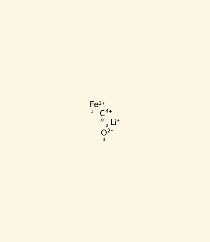 [C+4].[Fe+2].[Li+].[O-2]